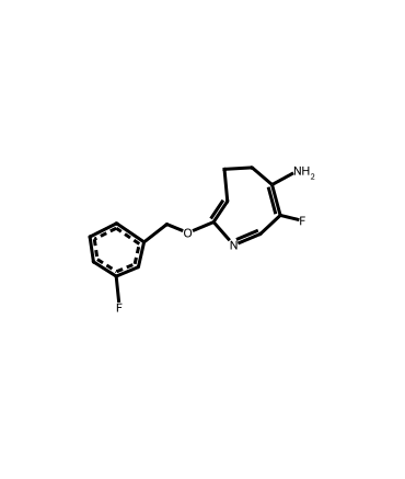 N/C1=C(F)/C=N\C(OCc2cccc(F)c2)=C\CC1